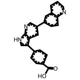 O=C(O)c1ccc(-c2c[nH]c3ncc(-c4ccc5ncccc5c4)cc23)cc1